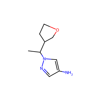 CC(C1CCOC1)n1cc(N)cn1